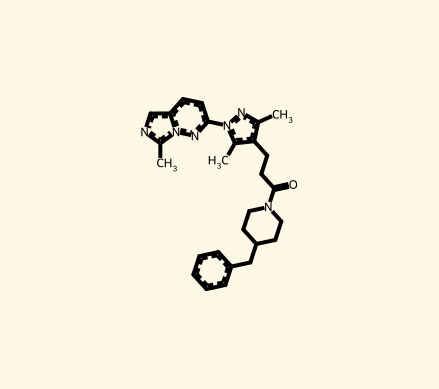 Cc1nn(-c2ccc3cnc(C)n3n2)c(C)c1CCC(=O)N1CCC(Cc2ccccc2)CC1